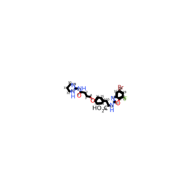 O=C(CCCOc1ccc(C[C@H](Nc2nc3cc(Br)cc(F)c3o2)C(=O)O)cc1)NC1=NCCCN1